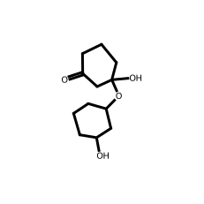 O=C1CCCC(O)(OC2CCCC(O)C2)C1